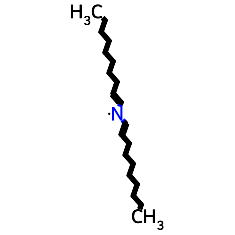 CCCCCCCC/C=C/[N]/C=C/CCCCCCCC